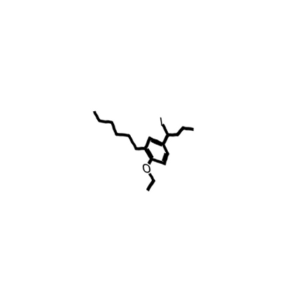 CCCCCCc1cc(C(I)CCC)ccc1OCC